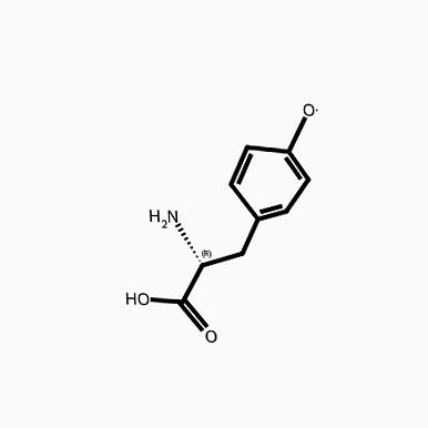 N[C@H](Cc1ccc([O])cc1)C(=O)O